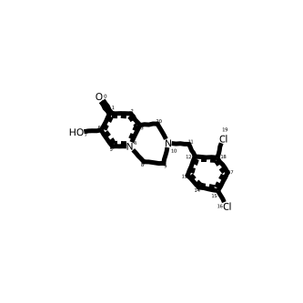 O=c1cc2n(cc1O)CCN(Cc1ccc(Cl)cc1Cl)C2